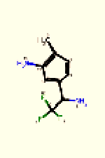 Cc1ccc(C(N)C(F)(F)F)cc1N